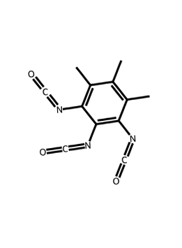 Cc1c(C)c(N=C=O)c(N=C=O)c(N=C=O)c1C